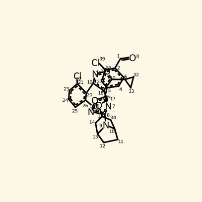 O=Cc1ccc(-c2nc(N3C4CCC3CC(OCc3c(-c5c(Cl)cccc5Cl)noc3C3CC3)C4)no2)cc1Cl